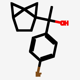 CC(O)(c1ccc(Br)cc1)C12CCC3CC31C2